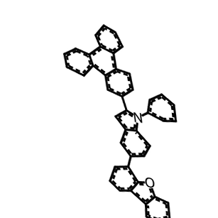 c1ccc(-n2c(-c3ccc4c5ccccc5c5ccccc5c4c3)cc3cc(-c4cccc5c4oc4ccccc45)ccc32)cc1